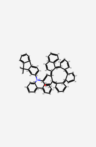 CC1(C)c2ccccc2-c2ccc(N(c3ccc4c5ccccc5c5ccccc5c5ccccc5c5c6ccccc6ccc5c4c3)c3ccccc3-c3ccccc3)cc21